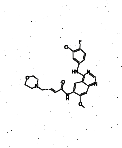 COc1cc2ncnc(Nc3ccc(F)c(Cl)c3)c2cc1NC(=O)C=CCN1CCOCC1